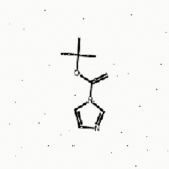 C=C(OC(C)(C)C)n1ccnc1